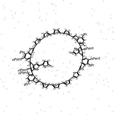 CCCCCc1cc2c3cc(sc3c1C(C)C)c1ccc(s1)c1ccc(s1)c1ccc(s1)c1ccc(s1)c1cc3c(C(C)C)cc(CCCCC)c(c3s1)c1c(CCCCC)cc(c3cc(CCCCC)c(C(C)C)c4sc(cc43)c3ccc(s3)c3ccc(s3)c3ccc(s3)c3ccc(s3)c3cc4c(C(C)C)cc(C)c(c4s3)c3c(CCCCC)cc2c2cc(C)sc23)c2cc(-c3ccc(C)s3)sc21